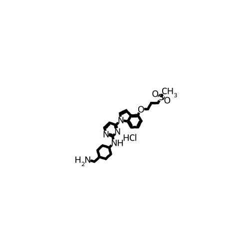 CS(=O)(=O)CCCOc1cccc2c1ccn2-c1ccnc(NC2CCC(CN)CC2)n1.Cl